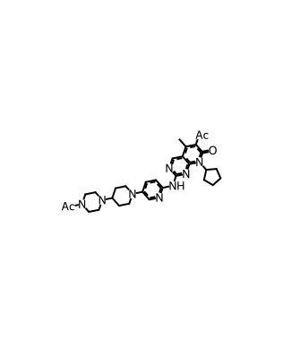 CC(=O)c1c(C)c2cnc(Nc3ccc(N4CCC(N5CCN(C(C)=O)CC5)CC4)cn3)nc2n(C2CCCC2)c1=O